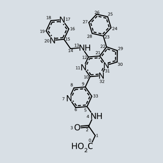 O=C(O)CC(=O)Nc1cncc(-c2nc(NCc3cnccn3)c3c(-c4ccccc4)ccn3n2)c1